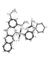 COc1cc(Nc2nc3ccccc3nc2NS(=O)(=O)c2cccc([N+]3(C(C)=O)CCCCC3)c2)cc(OC)c1